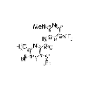 CCSc1cc(Br)c(C)nc1C(=O)Nc1cc(C(F)(F)F)cnc1NC